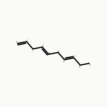 C=CCC=CCC=CCC